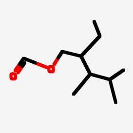 CCC(COC=O)C(C)C(C)C